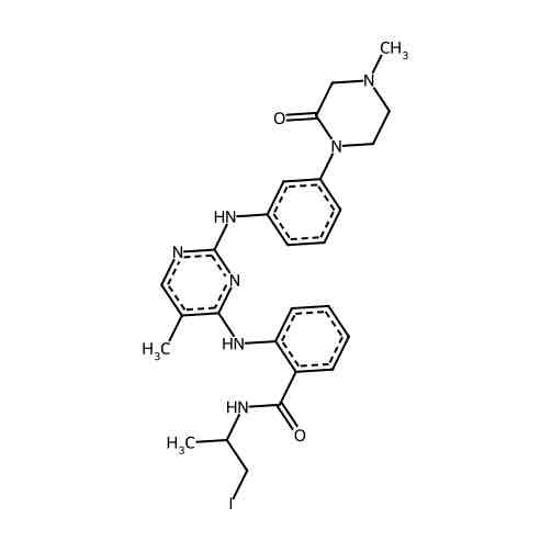 Cc1cnc(Nc2cccc(N3CCN(C)CC3=O)c2)nc1Nc1ccccc1C(=O)NC(C)CI